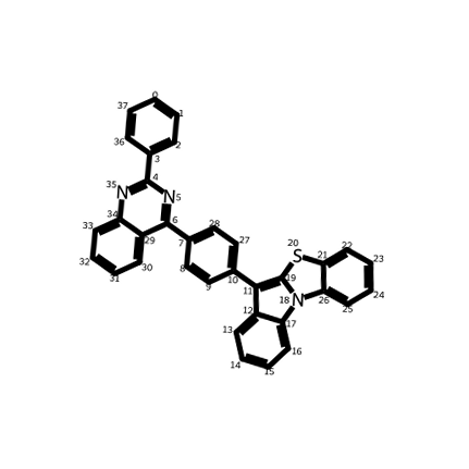 c1ccc(-c2nc(-c3ccc(-c4c5ccccc5n5c4sc4ccccc45)cc3)c3ccccc3n2)cc1